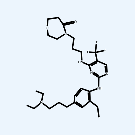 CCc1cc(CCCN(CC)CC)ccc1Nc1ncc(C(F)(F)F)c(NCCCN2CCOCCC2=O)n1